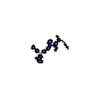 CCCCCCCCc1cc(-c2cc(-n3c4ccccc4c4cc(-c5ccc(N(c6ccc(-c7ccccc7)cc6)c6ccc7c(c6)C(C)(C)c6ccccc6-7)cc5)ccc43)cc(C(C)(C)C)c2)cc(C(C)(C)C)c1